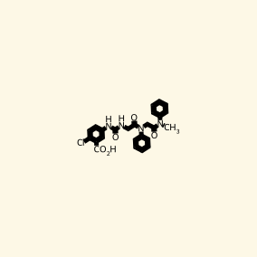 CN(C(=O)CN(C(=O)CNC(=O)Nc1ccc(Cl)c(C(=O)O)c1)c1ccccc1)c1ccccc1